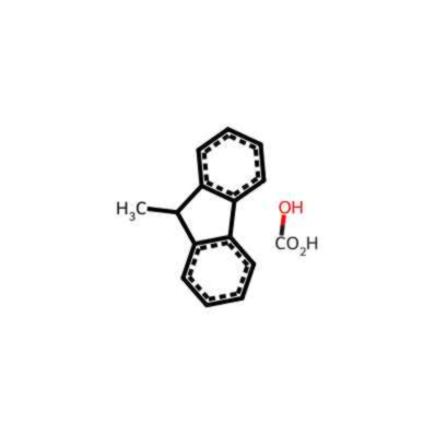 CC1c2ccccc2-c2ccccc21.O=C(O)O